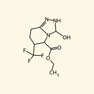 CCOC(=O)C1C(C(F)(F)F)CCC2=NNC(O)N21